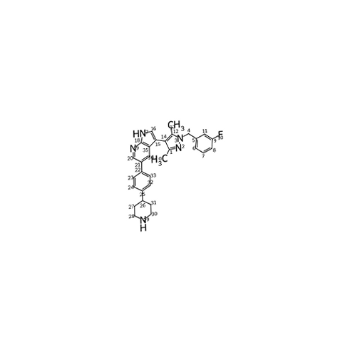 Cc1nn(Cc2cccc(F)c2)c(C)c1-c1c[nH]c2ncc(-c3ccc(C4CCNCC4)cc3)cc12